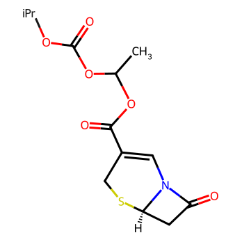 CC(C)OC(=O)OC(C)OC(=O)C1=CN2C(=O)C[C@H]2SC1